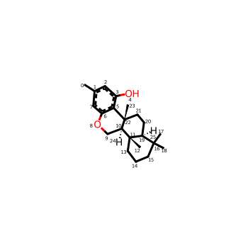 Cc1cc(O)c2c(c1)OC[C@@H]1[C@@]3(C)CCCC(C)(C)[C@@H]3CC[C@@]21C